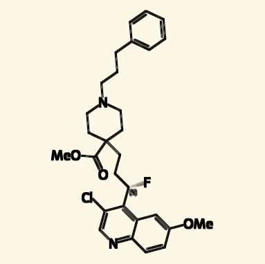 COC(=O)C1(CC[C@H](F)c2c(Cl)cnc3ccc(OC)cc23)CCN(CCCc2ccccc2)CC1